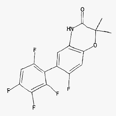 CC1(C)Oc2cc(F)c(-c3c(F)cc(F)c(F)c3F)cc2NC1=O